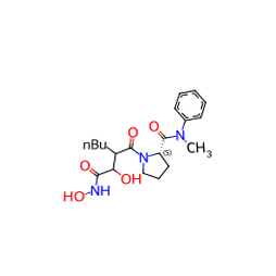 CCCCC(C(=O)N1CCC[C@H]1C(=O)N(C)c1ccccc1)C(O)C(=O)NO